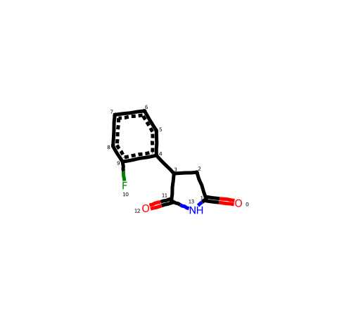 O=C1CC(c2ccccc2F)C(=O)N1